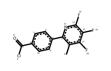 Cc1c(-c2ccc(C(=O)Cl)cc2)nc(F)c(F)c1F